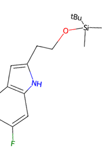 CC(C)(C)[Si](C)(C)OCCc1cc2ccc(F)cc2[nH]1